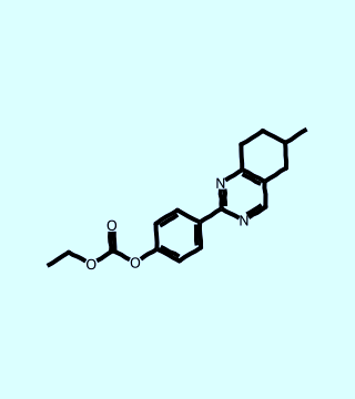 CCOC(=O)Oc1ccc(-c2ncc3c(n2)CCC(C)C3)cc1